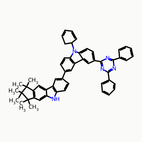 CC1(C)c2cc3[nH]c4ccc(-c5ccc6c(c5)c5cc(-c7nc(-c8ccccc8)nc(-c8ccccc8)n7)ccc5n6C5C=CC=CC5)cc4c3cc2C(C)(C)C1(C)C